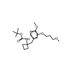 COCCCOc1cc(CC2(NC(=O)OC(C)(C)C)CCC2)cnc1OC